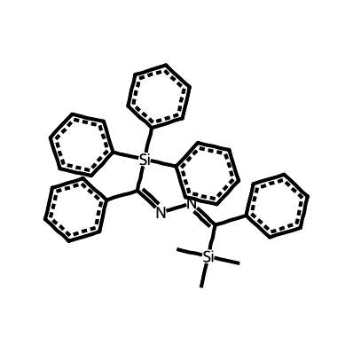 C[Si](C)(C)C(=NN=C(c1ccccc1)[Si](c1ccccc1)(c1ccccc1)c1ccccc1)c1ccccc1